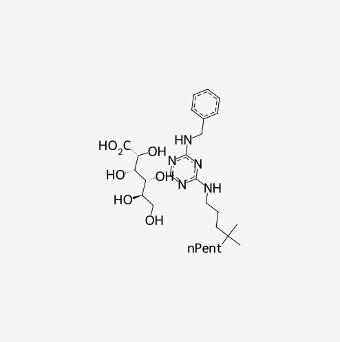 CCCCCC(C)(C)CCCNc1ncnc(NCc2ccccc2)n1.O=C(O)[C@H](O)[C@@H](O)[C@H](O)[C@H](O)CO